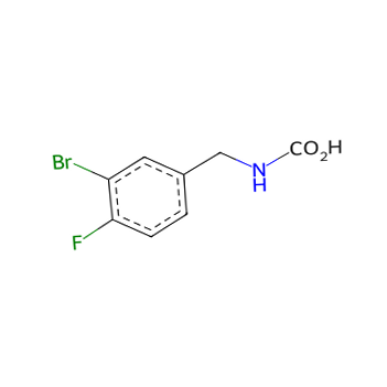 O=C(O)NCc1ccc(F)c(Br)c1